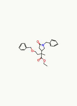 CCOC(=O)C(C)(CCOCc1ccccc1)C1CC(=O)N(Cc2ccccc2)C1